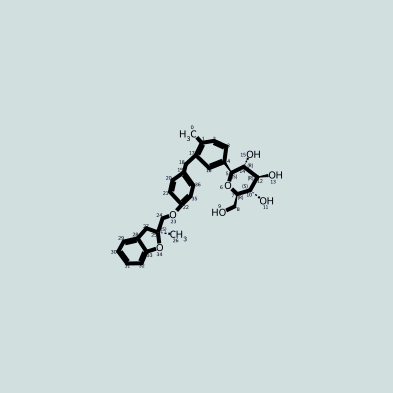 Cc1ccc([C@@H]2O[C@H](CO)[C@@H](O)[C@H](O)[C@H]2O)cc1Cc1ccc(OC[C@]2(C)Cc3ccccc3O2)cc1